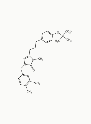 Cc1ccc(Cn2cc(CCCc3ccc(OC(C)(C)C(=O)O)cc3)n(C)c2=O)cc1C